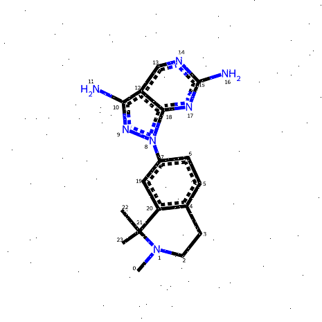 CN1CCc2ccc(-n3nc(N)c4cnc(N)nc43)cc2C1(C)C